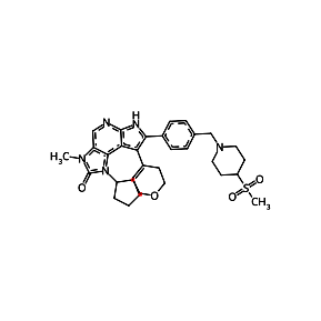 Cn1c(=O)n(C2CCCC2)c2c3c(C4=CCOCC4)c(-c4ccc(CN5CCC(S(C)(=O)=O)CC5)cc4)[nH]c3ncc21